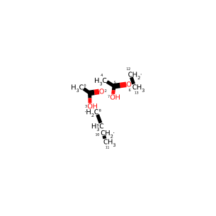 CC(=O)O.CC(=O)O.[CH2]C.[CH2]C.[CH2]C